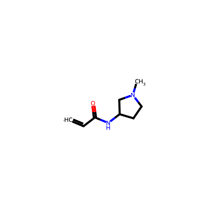 [CH]=CC(=O)NC1CCN(C)C1